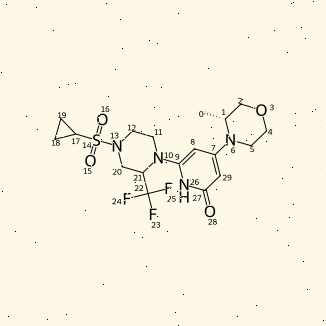 C[C@@H]1COCCN1c1cc(N2CCN(S(=O)(=O)C3CC3)CC2C(F)(F)F)[nH]c(=O)c1